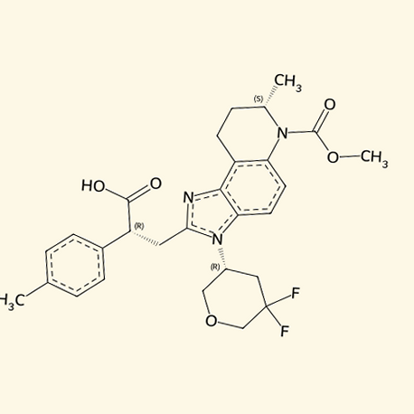 COC(=O)N1c2ccc3c(nc(C[C@@H](C(=O)O)c4ccc(C)cc4)n3[C@H]3COCC(F)(F)C3)c2CC[C@@H]1C